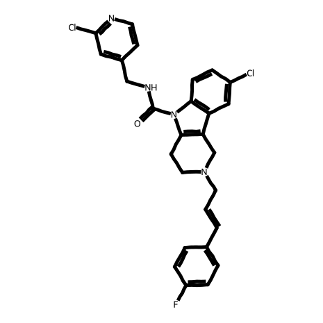 O=C(NCc1ccnc(Cl)c1)n1c2c(c3cc(Cl)ccc31)CN(CC=Cc1ccc(F)cc1)CC2